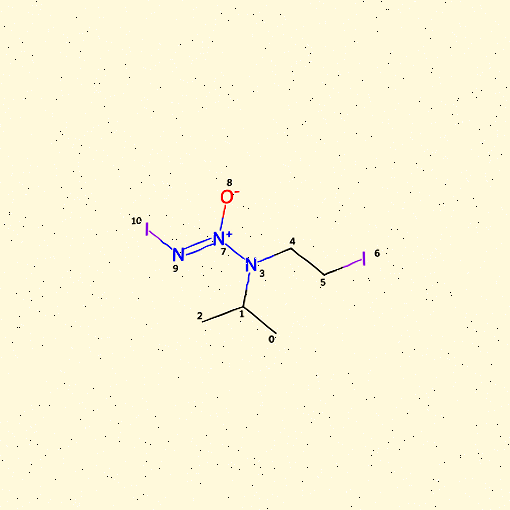 CC(C)N(CCI)/[N+]([O-])=N/I